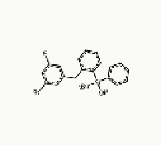 CC(C)(C)[Si](O)(c1ccccc1)c1ccccc1Cc1cc(F)cc(Br)c1